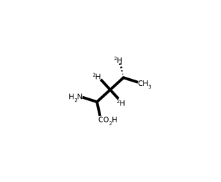 [2H][C@H](C)C([2H])([2H])C(N)C(=O)O